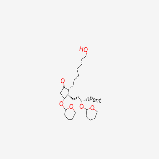 CCCCC[C@@H](/C=C/[C@H]1[C@H](OC2CCCCO2)CC(=O)[C@@H]1CCCCCCCO)OC1CCCCO1